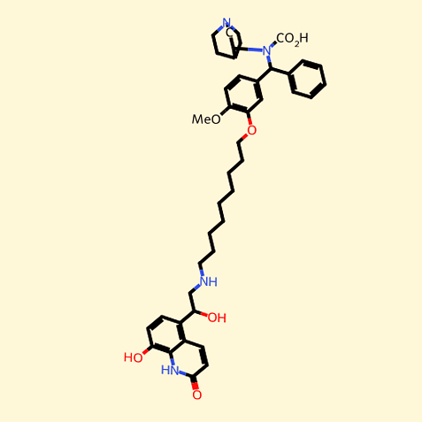 COc1ccc(C(c2ccccc2)N(C(=O)O)C2CN3CCC2CC3)cc1OCCCCCCCCCNCC(O)c1ccc(O)c2[nH]c(=O)ccc12